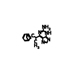 CC(C)c1nc(N)[nH]c2ncnc1-2.c1cc2cc(c1)C2